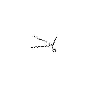 CCCCCCCCCCCCCCCCC(CCCCCCCC)(CCCCCCCCCCCCCCCC)CC[n+]1ccccc1